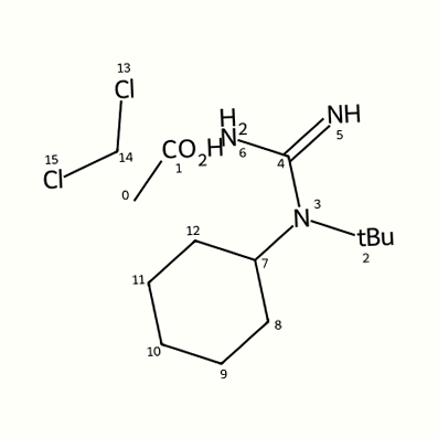 CC(=O)O.CC(C)(C)N(C(=N)N)C1CCCCC1.ClCCl